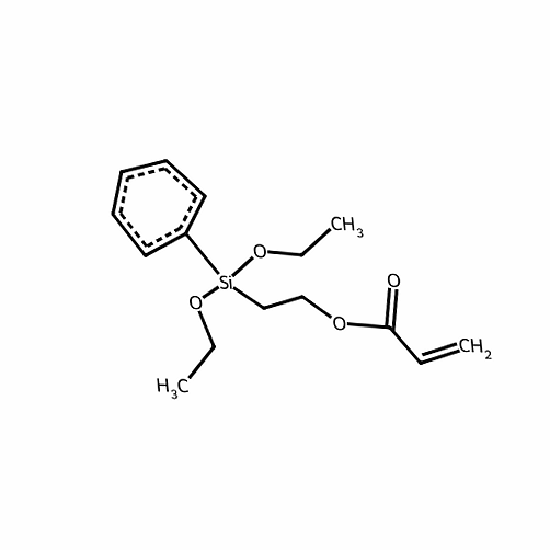 C=CC(=O)OCC[Si](OCC)(OCC)c1ccccc1